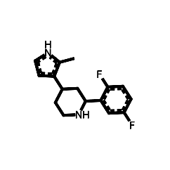 Cc1[nH]ccc1C1CCNC(c2cc(F)ccc2F)C1